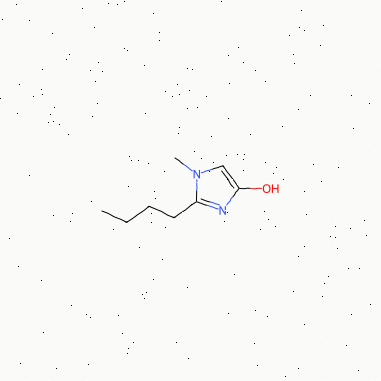 CCCCc1nc(O)cn1C